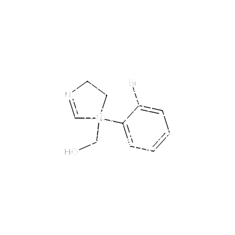 OC[N+]1(c2ccccc2Br)C=NCC1